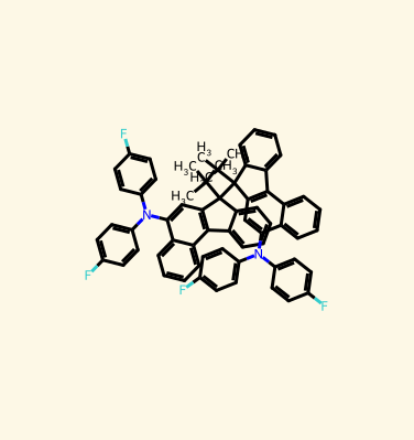 CC(C)(C)C1(C2(C(C)(C)C)c3ccccc3-c3c2cc(N(c2ccc(F)cc2)c2ccc(F)cc2)c2ccccc32)c2ccccc2-c2c1cc(N(c1ccc(F)cc1)c1ccc(F)cc1)c1ccccc21